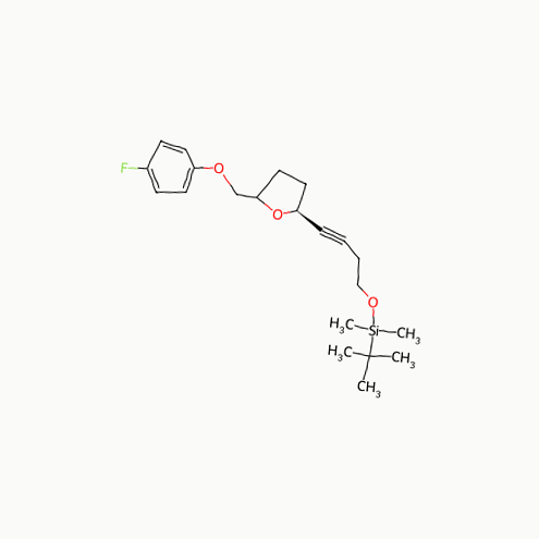 CC(C)(C)[Si](C)(C)OCCC#C[C@@H]1CCC(COc2ccc(F)cc2)O1